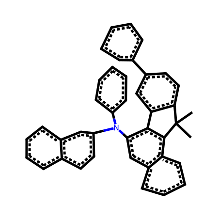 CC1(C)c2ccc(-c3ccccc3)cc2-c2c(N(c3ccccc3)c3ccc4ccccc4c3)cc3ccccc3c21